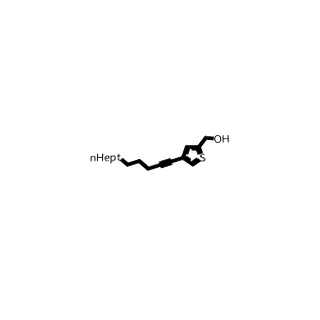 CCCCCCCCCCC#Cc1csc(CO)c1